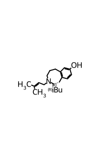 CC[C@@H](C)[C@H]1Cc2ccc(O)cc2CCCN1CC=C(C)C